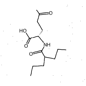 CCCC(CCC)C(=O)N[C@@H](CCC(C)=O)C(=O)O